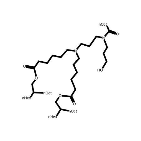 CCCCCCCCC(=O)N(CCCO)CCCN(CCCCCC(=O)OCC(CCCCCC)CCCCCCCC)CCCCCC(=O)OCC(CCCCCC)CCCCCCCC